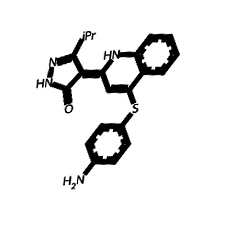 CC(C)C1=NNC(=O)C1=C1C=C(Sc2ccc(N)cc2)c2ccccc2N1